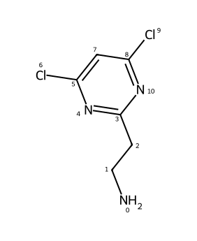 NCCc1nc(Cl)cc(Cl)n1